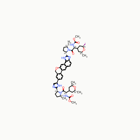 COC(=O)N[C@H](C(=O)N1[C@@H](C)CC[C@H]1c1ncc(-c2ccc3c(c2)COc2cc4c(ccc5nc([C@@H]6CC[C@H](C)N6C(=O)[C@@H](NC(=O)OC)C6C[C@@H](C)O[C@H](I)C6)[nH]c54)cc2-3)[nH]1)C1C[C@@H](C)O[C@H](C)C1